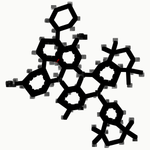 Cc1cc2c3c(n1)N(c1ccc4c(c1)C(C)(C)CCC4(C)C)c1cc4c(cc1B3c1cc(C(C)(C)C)ccc1N2c1ccc(C(C)(C)C)cc1-c1ccc(C2CCCCC2)cc1)C(C)(C)CCC4(C)C